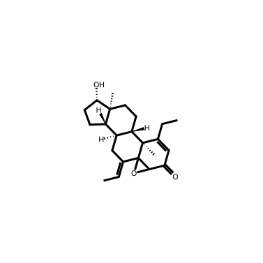 CC=C1C[C@H]2[C@@H]3CC[C@H](O)[C@@]3(C)CC[C@@H]2[C@@]2(C)C(CC)=CC(=O)C3OC132